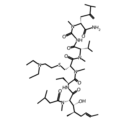 C=C(C[C@H](C(N)=O)N(C)C(=O)NC(=O)[C@H](C(C)C)N(C)C(=O)[C@@H](CSCCN(CC)CC)N(C)C(=O)[C@H](CC)NC(=O)[C@H]([C@H](O)[C@H](C)C/C=C/C)N(C)C(=O)CC(C)C)C(C)C